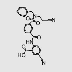 N#CCCN(Cc1ccccc1)S(=O)(=O)c1cccc(C(=O)Nc2ccc(C#N)cc2C(=O)O)c1